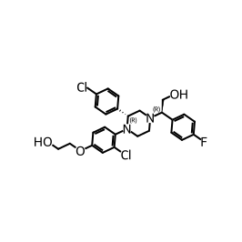 OCCOc1ccc(N2CCN([C@@H](CO)c3ccc(F)cc3)C[C@H]2c2ccc(Cl)cc2)c(Cl)c1